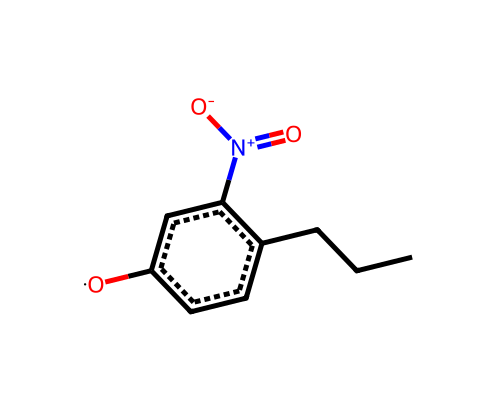 CCCc1ccc([O])cc1[N+](=O)[O-]